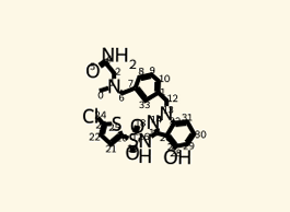 CN(CC(N)=O)Cc1cccc(Cn2nc(NS(=O)(=O)c3ccc(Cl)s3)c3c(O)cccc32)c1